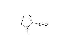 O=CC1=NCCN1